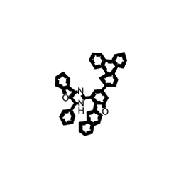 c1ccc(C2NC(c3cc(-c4ccc5c6ccccc6c6ccccc6c5c4)cc4oc5cc6ccccc6cc5c34)=Nc3c2oc2ccccc32)cc1